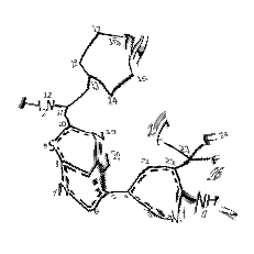 Nc1ncc(-c2cnc3sc(C(N)C4CCNCC4)nn23)cc1C(F)(F)F